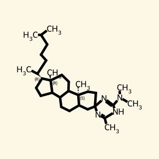 CC1=NC2(CC[C@@]3(C)C(CCC4C3CC[C@@]3(C)C4CC[C@@H]3C(C)CCCC(C)C)C2)N=C(N(C)C)N1